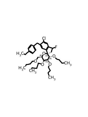 CCCCOC[C@H]1O[C@]2(CC(F)c3cc(Cl)c(Cc4ccc(CC)cc4)cc32)[C@H](OCCCC)[C@@H](OCCCC)[C@@H]1OCCCC